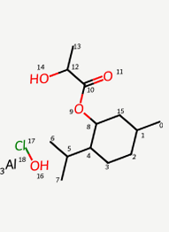 CC1CCC(C(C)C)C(OC(=O)C(C)O)C1.OCl.[AlH3]